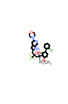 COc1ccc(-c2ccccc2Cl)cc1C(C)(C)CC(O)(Cc1cc2cc(N3CCOCC3)ncc2[nH]1)C(F)(F)F